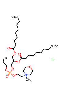 CCCCCCCCCCCCCCCCCC(=O)OCC(COP(=O)(OCCC#N)OCC[N+]1(C)CCOCC1)OC(=O)CCCCCCCCCCCCCCCCC.[Cl-]